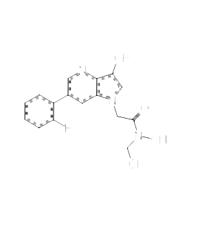 CCN(C)C(=O)Cn1cc(C)c2ncc(-c3ccccc3F)cc21